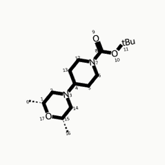 C[C@@H]1CN(C2CCN(C(=O)OC(C)(C)C)CC2)C[C@H](C)O1